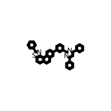 c1ccc(-c2cc(-c3ccccc3)nc(-c3cccc(-c4ccc5c(ccc6ccc7sc(-c8ccccc8)nc7c65)c4)c3)n2)cc1